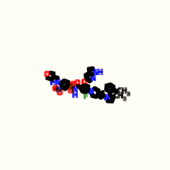 CC(C)c1ccccc1C1CCCN1C1CC2(CCN(c3cc(Oc4cnc5[nH]ccc5c4)c(C(=O)NS(=O)(=O)c4ccc(NCC5CCOCC5)c([N+](=O)[O-])c4)cc3F)CC2)C1